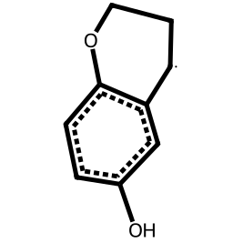 Oc1ccc2c(c1)[CH]CCO2